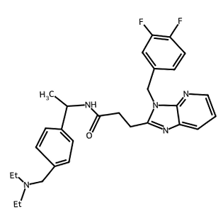 CCN(CC)Cc1ccc(C(C)NC(=O)CCc2nc3cccnc3n2Cc2ccc(F)c(F)c2)cc1